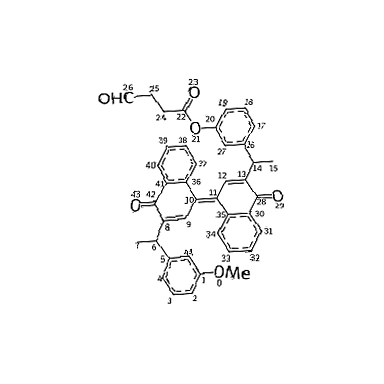 COc1cccc(C(C)C2=C/C(=C3/C=C(C(C)c4cccc(OC(=O)CCC=O)c4)C(=O)c4ccccc43)c3ccccc3C2=O)c1